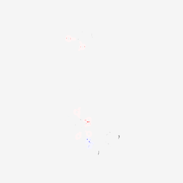 CCC(C)(C)C(=O)OCCCCCCCCOC(=O)C(F)(F)S(=O)(=O)O/N=C(\c1ccccc1)C(F)(F)F